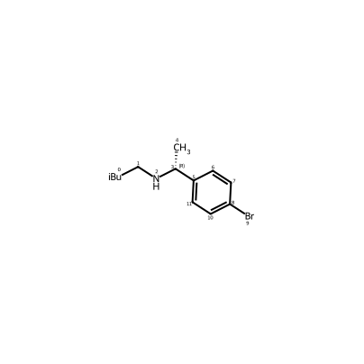 CCC(C)CN[C@H](C)c1ccc(Br)cc1